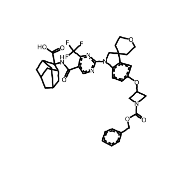 O=C(NC1(C(=O)O)C2CC3CC(C2)CC1C3)c1cnc(N2CC3(CCOCC3)c3cc(OC4CN(C(=O)OCc5ccccc5)C4)ccc32)nc1C(F)(F)F